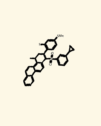 CSc1ccc(C2CC(C)c3c(ccc4c3ccc3ccccc34)C2S(=O)(=O)c2cccc(C3CC3)c2)c(F)c1